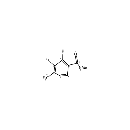 [CH2-][NH2+]C(=O)c1ccc(C(F)(F)F)c(F)c1F